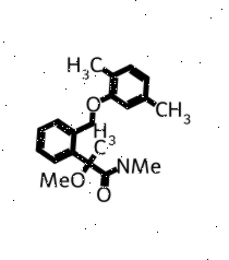 CNC(=O)C(C)(OC)c1ccccc1COc1cc(C)ccc1C